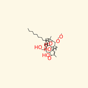 CCCCCCCCCC(=O)O[C@@]12[C@H](OCOC)[C@@H](C)[C@@]3(O)[C@@H](C=C(CO)C[C@]4(O)C(=O)C(C)=C[C@@H]34)[C@@H]1C2(C)C